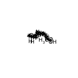 CN(CCC(=O)O)C1CCN(Cc2ccc(-c3cc4nccc(Oc5ccc(NC(=O)NC6CC6)cc5F)c4s3)nc2)CC1